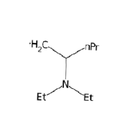 [CH2]C(CCC)N(CC)CC